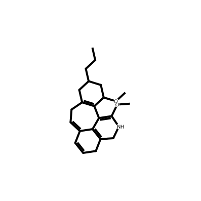 CCCC1CC2=C(C3=C(OC)NCC4=C3C(=CC2)C=CC4)C(OC)C1